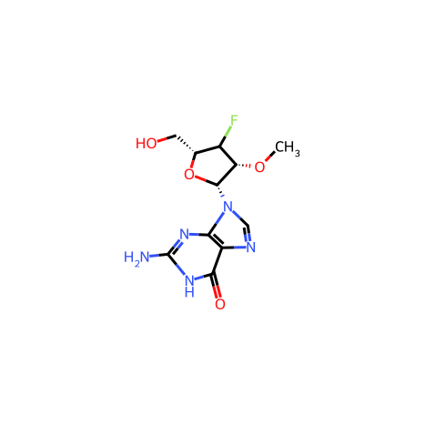 CO[C@H]1C(F)[C@@H](CO)O[C@H]1n1cnc2c(=O)[nH]c(N)nc21